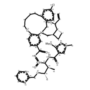 C=C[C@H](OC)[C@@H]1CC[C@H]1CN1Cc2ccc(Cl)cc2CCCCOc2ccc(C(=O)/N=[SH](=O)\C(NC(=O)c3cn(C)nc3OC)[C@@H](C)[C@H](C)OCc3ncccn3)cc21